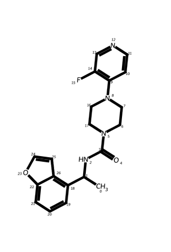 CC(NC(=O)N1CCN(c2ccncc2F)CC1)c1cccc2occc12